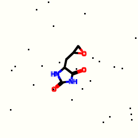 O=C1NC(=O)C(CC2CO2)N1